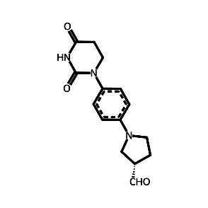 O=C[C@H]1CCN(c2ccc(N3CCC(=O)NC3=O)cc2)C1